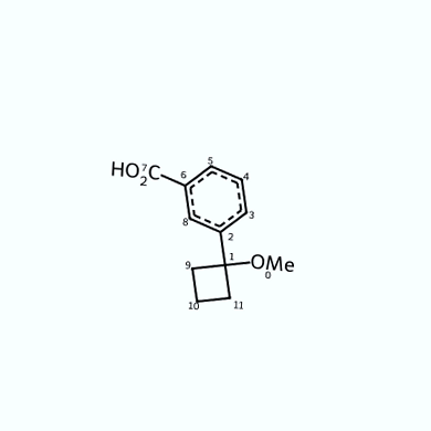 COC1(c2cccc(C(=O)O)c2)CCC1